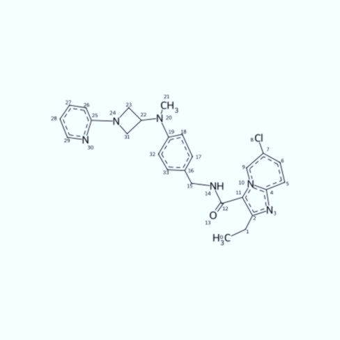 CCc1nc2ccc(Cl)cn2c1C(=O)NCc1ccc(N(C)C2CN(c3ccccn3)C2)cc1